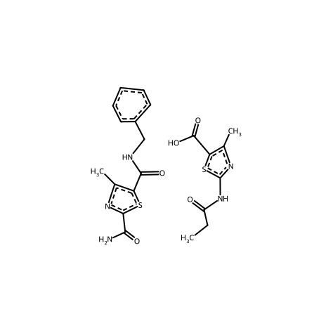 CCC(=O)Nc1nc(C)c(C(=O)O)s1.Cc1nc(C(N)=O)sc1C(=O)NCc1ccccc1